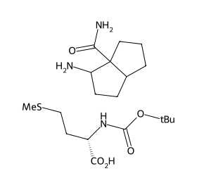 CSCC[C@H](NC(=O)OC(C)(C)C)C(=O)O.NC(=O)C12CCCC1CCC2N